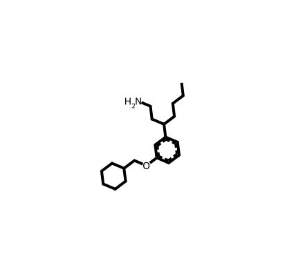 CCCCC(CCN)c1cccc(OCC2CCCCC2)c1